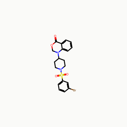 O=C1OCN(C2CCN(S(=O)(=O)c3cccc(Br)c3)CC2)c2ccccc21